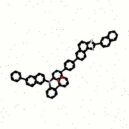 c1ccc(-c2ccc3cc(N(c4ccc(-c5ccc(-c6ccc7c(ccc8oc(-c9ccc%10ccccc%10c9)nc87)c6)cc5)cc4)c4ccccc4-c4ccccc4)ccc3c2)cc1